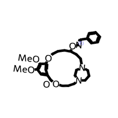 COc1cc2cc(c1OC)OCCCC(O/N=C/c1ccccc1)CCN1CCCN(CCCOC2=O)CC1